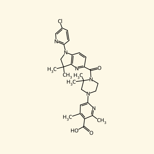 Cc1cc(N2CCN(C(=O)c3ccc4c(n3)C(C)(C)CN4c3ccc(Cl)cn3)C(C)(C)C2)nc(C)c1C(=O)O